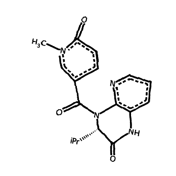 CC(C)[C@H]1C(=O)Nc2cccnc2N1C(=O)c1ccc(=O)n(C)c1